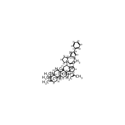 C=C(C)[C@@H]1CC[C@]2(C(=O)N3CCC[C@H]3c3nc(-c4ccccc4)cn3C)CC[C@]3(C)[C@H](CC[C@@H]4[C@@]5(C)CC[C@H](C)C(C)(C)[C@@H]5CC[C@]43C)[C@@H]12